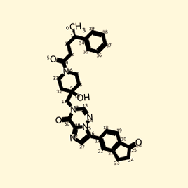 C[C@H](CCC(=O)N1CCC(O)(Cn2cnn3c(-c4ccc5c(c4)CCC5=O)cnc3c2=O)CC1)c1ccccc1